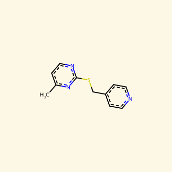 Cc1ccnc(SCc2ccncc2)n1